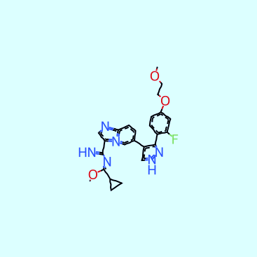 COCCOc1ccc(-c2n[nH]cc2-c2ccc3ncc(C(=N)/N=C(\OC)C4CC4)n3c2)c(F)c1